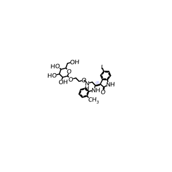 Cc1ccccc1N/C(CNOCCOC1OC(CO)C(O)C(O)C1O)=C1\C(=O)Nc2ccc(I)cc21